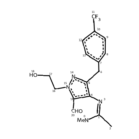 CN/C(C)=N\c1c(Cc2ccc(C(F)(F)F)cc2)nn(CCO)c1C=O